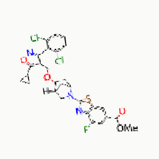 COC(=O)c1cc(F)c2nc(N3C[C@H]4CC3C[C@@H]4OCc3c(-c4c(Cl)cccc4Cl)noc3C3CC3)sc2c1